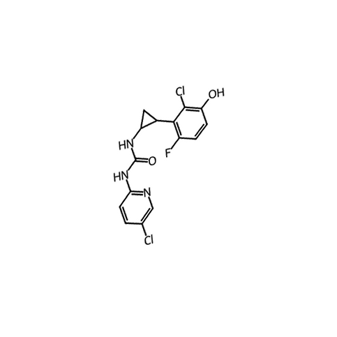 O=C(Nc1ccc(Cl)cn1)NC1CC1c1c(F)ccc(O)c1Cl